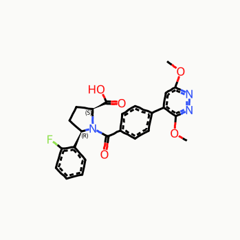 COc1cc(-c2ccc(C(=O)N3[C@@H](c4ccccc4F)CC[C@H]3C(=O)O)cc2)c(OC)nn1